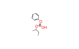 CCC(C)OB(O)Oc1ccccc1